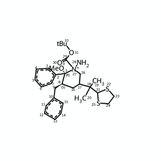 CO[C@@]1(c2ccccc2)[C@H](Cc2ccccc2)CC(C(C)(C)C2SCCS2)C[N+]1(N)C(=O)OC(C)(C)C